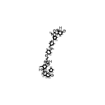 Cc1cc(S(=O)(=O)NCCO[C@H]2CC[C@H](N(C)CC3CCN(c4ccc5c(c4)n(C)c(=O)n5C4CCC(=O)NC4=O)CC3)CC2)ccc1Nc1ncc2ccc(=O)n(C3CCCC3)c2n1